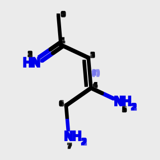 CC(=N)/C=C(/N)CN